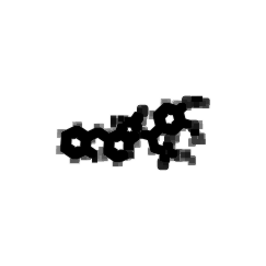 CCOc1cc(C(CS(C)(=O)=O)n2c(=O)[nH]c3c(Cc4ccccc4F)ccnc32)ccc1OC